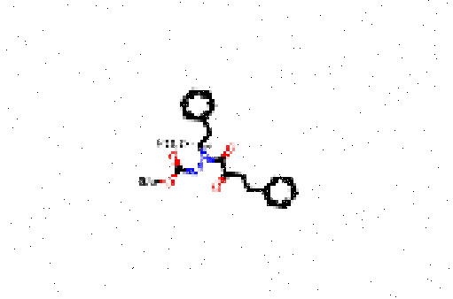 CC(C)(C)OC(=O)NN(C(=O)C(=O)CCc1ccccc1)[C@@H](Cc1ccccc1)C(=O)O